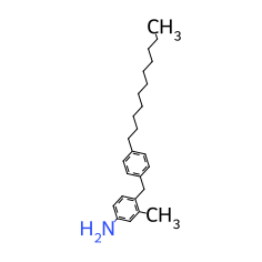 CCCCCCCCCCCc1ccc(Cc2ccc(N)cc2C)cc1